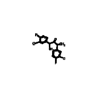 CC(C(=O)C(C)c1ccc(F)c(Cl)c1)c1ccc(F)c(Cl)c1